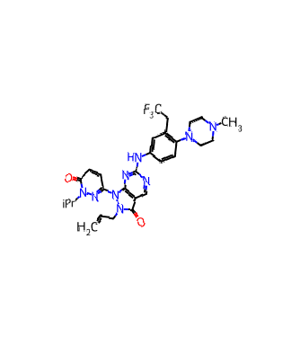 C=CCn1c(=O)c2cnc(Nc3ccc(N4CCN(C)CC4)c(CC(F)(F)F)c3)nc2n1-c1ccc(=O)n(C(C)C)n1